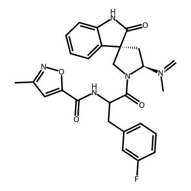 C=[N+](C)[C@@H]1C[C@@]2(CN1C(=O)C(Cc1cccc(F)c1)NC(=O)c1cc(C)no1)C(=O)Nc1ccccc12